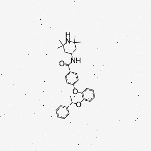 CC(Oc1ccccc1Oc1ccc(C(=O)NC2CC(C)(C)NC(C)(C)C2)cc1)c1ccccc1